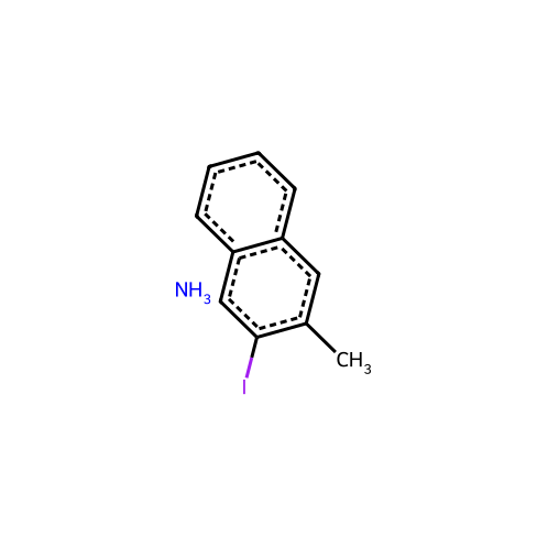 Cc1cc2ccccc2cc1I.N